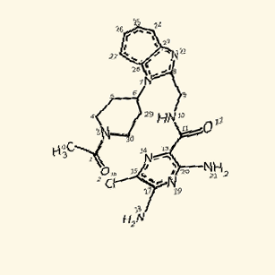 CC(=O)N1CCC(n2c(CNC(=O)c3nc(Cl)c(N)nc3N)nc3ccccc32)CC1